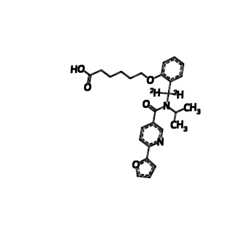 [2H]C([2H])(c1ccccc1OCCCCCC(=O)O)N(C(=O)c1ccc(-c2ccco2)nc1)C(C)C